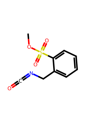 COS(=O)(=O)c1ccccc1CN=C=O